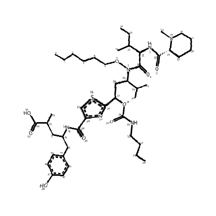 CCCCCCON(C(=O)C(NC(=O)[C@H]1CCCCN1C)C(C)CC)C(CC(OC(=O)NCCCC)c1nc(C(=O)NC(Cc2ccc(O)cc2)CC(C)C(=O)O)cs1)C(C)C